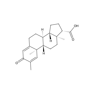 CC1=C[C@@]2(C)C(=CC1=O)CC[C@H]1[C@@H]3CC[C@H](C(=O)O)[C@@]3(C)CC[C@@H]12